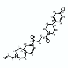 C=CCN1CCc2ccc(C(=O)CCC(=O)N3CCC(c4ccc(Cl)cc4)CC3)cc2CC1